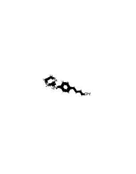 OCCCCc1ccc(N=C2SCCS2)cc1